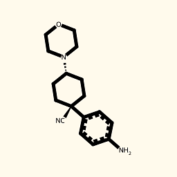 N#C[C@]1(c2ccc(N)cc2)CC[C@@H](N2CCOCC2)CC1